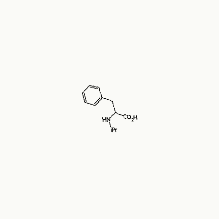 CC(C)NC(Cc1ccccc1)C(=O)O